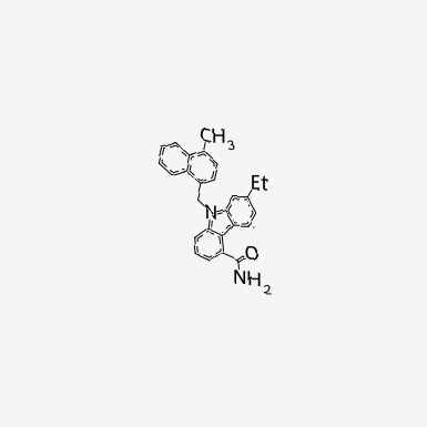 CCc1c[c]c2c3c(C(N)=O)cccc3n(Cc3ccc(C)c4ccccc34)c2c1